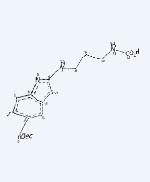 CCCCCCCCCCc1ccc2nc(NCCCNC(=O)O)sc2c1